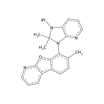 Cc1ccc2c(oc3ncccc32)c1N1c2ncccc2N(C(C)C)C1(C)C